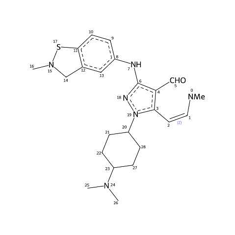 CN/C=C\c1c(C=O)c(Nc2ccc3c(c2)CN(C)S3)nn1C1CCC(N(C)C)CC1